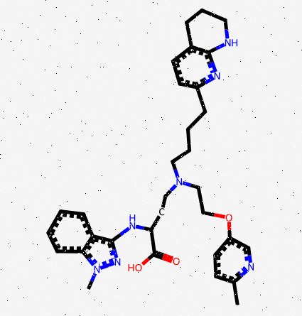 Cc1ccc(OCCN(CCCCc2ccc3c(n2)NCCC3)CCC(Nc2nn(C)c3ccccc23)C(=O)O)cn1